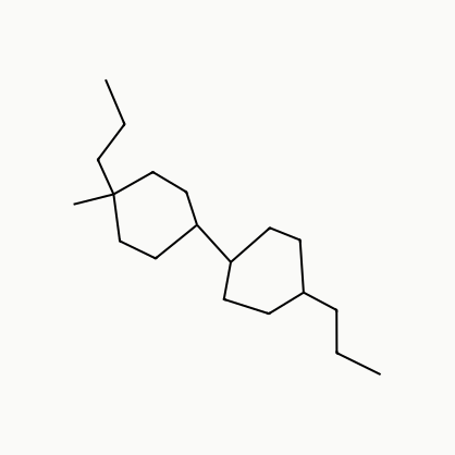 CCCC1CCC(C2CCC(C)(CCC)CC2)CC1